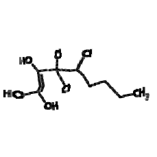 CCCCC(Cl)C(Cl)(Cl)C(O)=C(O)O